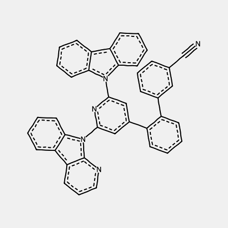 N#Cc1cccc(-c2ccccc2-c2cc(-n3c4ccccc4c4ccccc43)nc(-n3c4ccccc4c4cccnc43)c2)c1